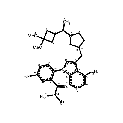 COC1(OC)CC(C(C)N2CC[C@@H](Cc3cn(-c4ccc(F)cc4C(=O)N(C)C(C)C)c4cncc(C)c34)C2)C1